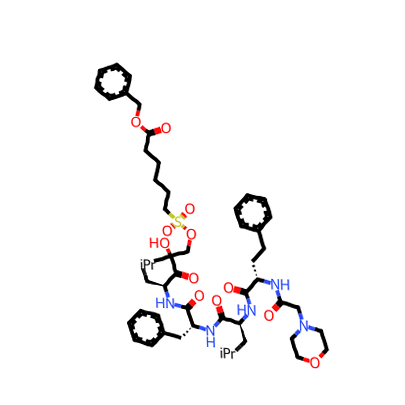 CC(C)C[C@H](NC(=O)[C@H](CCc1ccccc1)NC(=O)CN1CCOCC1)C(=O)N[C@H](Cc1ccccc1)C(=O)N[C@@H](CC(C)C)C(=O)C(C)(O)COS(=O)(=O)CCCCCC(=O)OCc1ccccc1